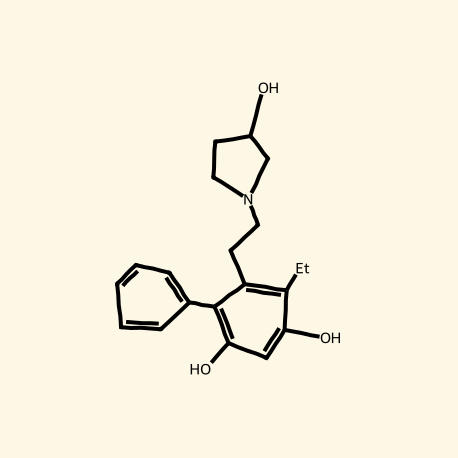 CCc1c(O)cc(O)c(-c2ccccc2)c1CCN1CCC(O)C1